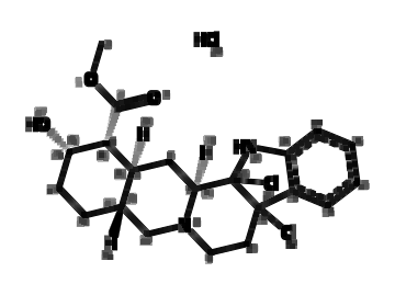 COC(=O)[C@@H]1[C@H]2C[C@@H]3N(CCC4(Cl)c5ccccc5NC34Cl)C[C@@H]2CC[C@@H]1O.Cl